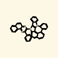 c1ccc(-c2nc3c(ccc4ccccc43)nc2-n2c3ccc4cccc5c6ccccc6n6c7ccccc7c2c6c3c45)cc1